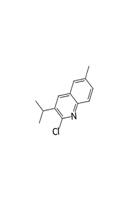 Cc1ccc2nc(Cl)c(C(C)C)cc2c1